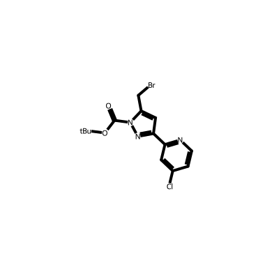 CC(C)(C)OC(=O)n1nc(-c2cc(Cl)ccn2)cc1CBr